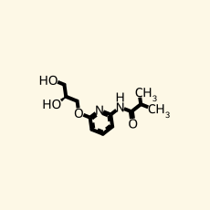 CC(C)C(=O)Nc1cccc(OC[C@@H](O)CO)n1